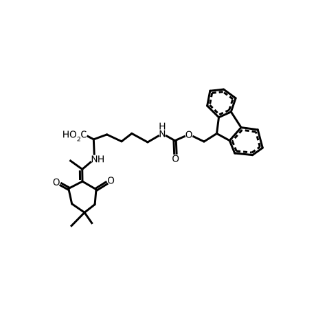 CC(NC(CCCCNC(=O)OCC1c2ccccc2-c2ccccc21)C(=O)O)=C1C(=O)CC(C)(C)CC1=O